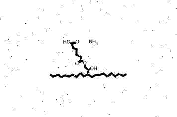 CCCCCCCCCCC(CCCCCCCCCC)C(O)COC(=O)CCCCC(=O)O.N